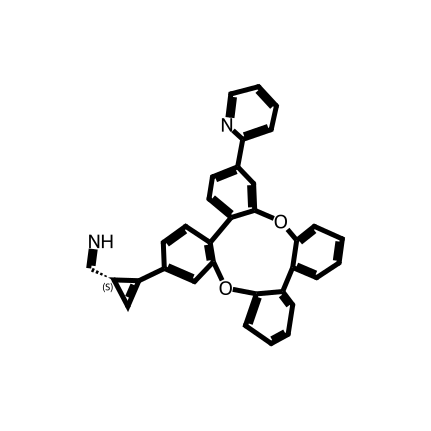 N=C[C@H]1C=C1c1ccc2c(c1)Oc1ccccc1-c1ccccc1Oc1cc(-c3ccccn3)ccc1-2